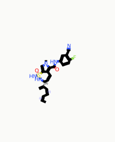 C=C(/C=C\C=C/C)[C@H]1C=Cc2c(cn(C)c2C(=O)Nc2ccc(F)c(C#N)c2)S(=N)(=O)N1